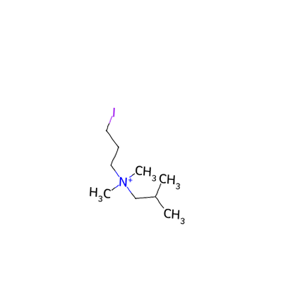 CC(C)C[N+](C)(C)CCCI